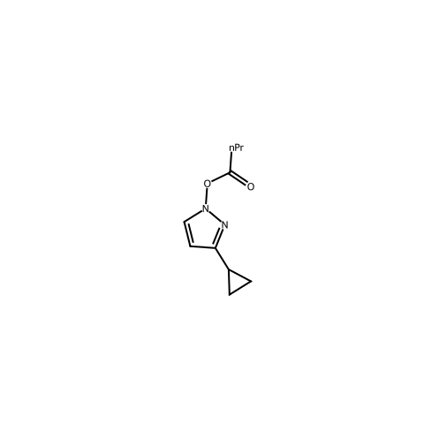 CCCC(=O)On1ccc(C2CC2)n1